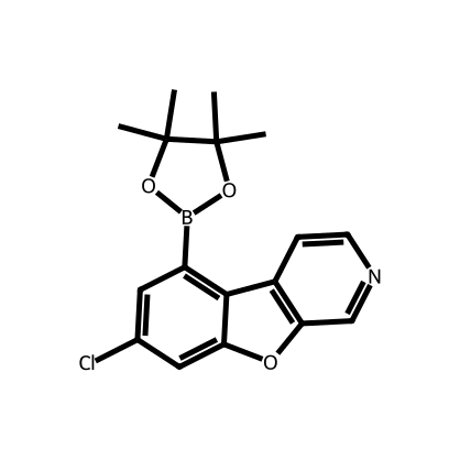 CC1(C)OB(c2cc(Cl)cc3oc4cnccc4c23)OC1(C)C